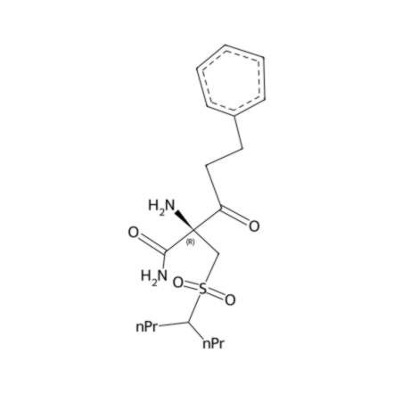 CCCC(CCC)S(=O)(=O)C[C@](N)(C(N)=O)C(=O)CCc1ccccc1